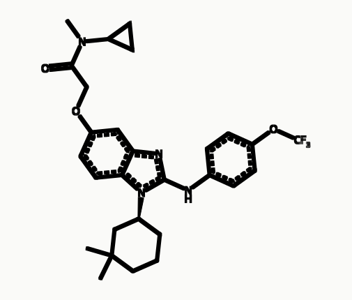 CN(C(=O)COc1ccc2c(c1)nc(Nc1ccc(OC(F)(F)F)cc1)n2[C@H]1CCCC(C)(C)C1)C1CC1